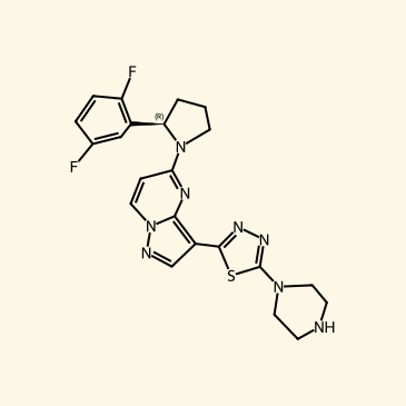 Fc1ccc(F)c([C@H]2CCCN2c2ccn3ncc(-c4nnc(N5CCNCC5)s4)c3n2)c1